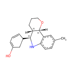 Cc1ccc2c(c1)[C@H]1OCCC[C@H]1[C@H](C1C=CC=C(O)C1)N2